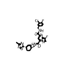 Cc1noc([C@H]2CC[C@H](CNC(=O)c3cc(C(=O)NCc4ccc(F)c(Cl)c4)nc4c(F)cnn34)CC2)n1